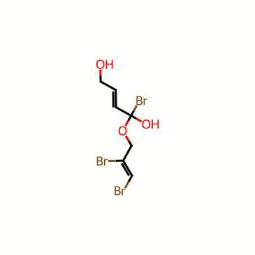 OCC=CC(O)(Br)OCC(Br)=CBr